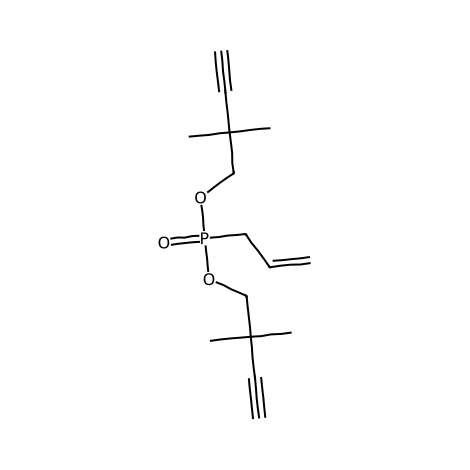 C#CC(C)(C)COP(=O)(CC=C)OCC(C)(C)C#C